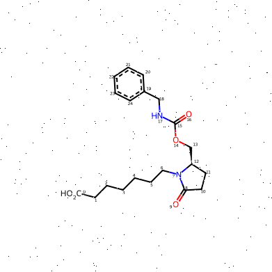 O=C(O)CCCCCCN1C(=O)CC[C@@H]1COC(=O)NCc1ccccc1